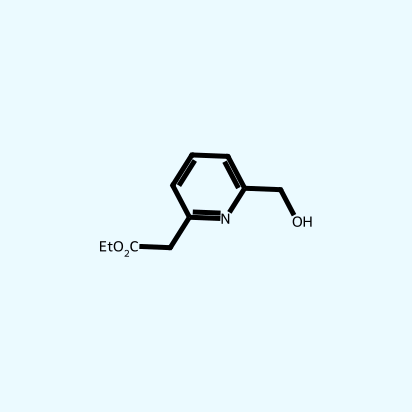 CCOC(=O)Cc1cccc(CO)n1